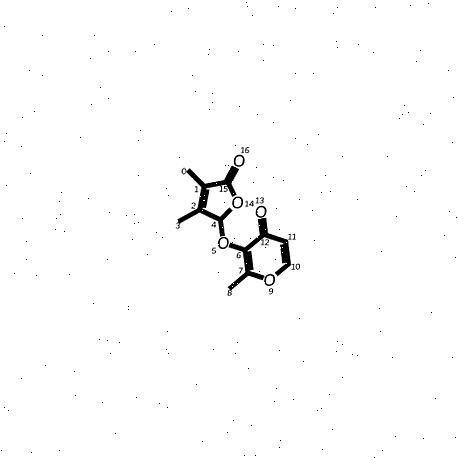 CC1=C(C)C(Oc2c(C)occc2=O)OC1=O